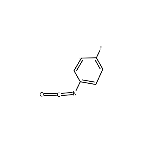 O=C=Nc1c[c]c(F)cc1